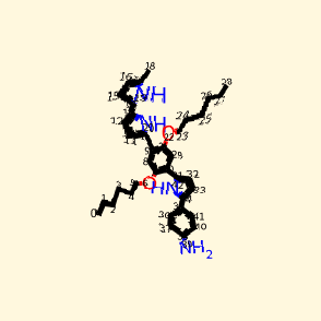 CCCCCCOc1cc(-c2ccc(-c3ccc(C)[nH]3)[nH]2)c(OCCCCCC)cc1-c1ccc(-c2ccc(N)cc2)[nH]1